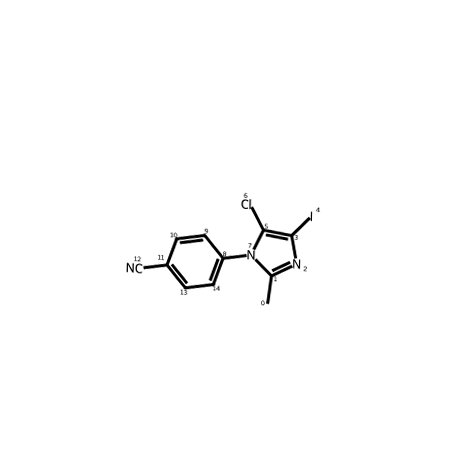 Cc1nc(I)c(Cl)n1-c1ccc(C#N)cc1